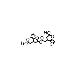 O=C(O)CC(CC(=O)OC(=O)CC(CC(=O)O)c1cccs1)c1cccs1